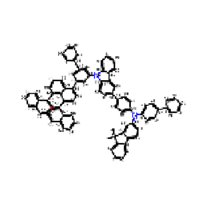 CC1(C)c2ccccc2-c2ccc(N(c3ccc(-c4ccccc4)cc3)c3ccc(-c4ccc5c(c4)c4ccccc4n5-c4cc(-c5ccccc5)cc(-c5ccc(-c6cccc7ccccc67)c6c(-c7cccc8ccccc78)cccc56)c4)cc3)cc21